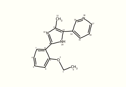 CCOc1ccccc1-c1nc(C)c(-c2cccnc2)[nH]1